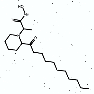 CCCCCCCCCCC(=O)C1CCCCN1C(C)C(=O)NO